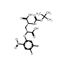 CC(C)(C)OC(=O)N[C@@H](C[C@H](Oc1cc(F)c(F)cc1[N+](=O)[O-])C(=O)O)C(=O)O